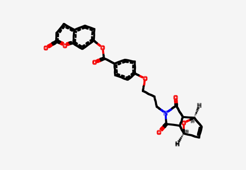 O=C(Oc1ccc2ccc(=O)oc2c1)c1ccc(OCCCN2C(=O)C3C(C2=O)[C@H]2C=C[C@@H]3O2)cc1